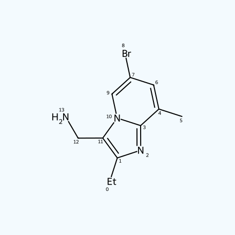 CCc1nc2c(C)cc(Br)cn2c1CN